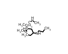 CCCNC(CC)C[SiH](OC)OC.CNC